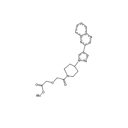 CC(C)(C)OC(=O)COCC(=O)N1CCC(n2cc(-c3cnc4ccccc4n3)cn2)CC1